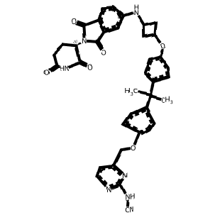 CC(C)(c1ccc(OCc2ccnc(NC#N)n2)cc1)c1ccc(OC2CC(Nc3ccc4c(c3)C(=O)N([C@H]3CCC(=O)NC3=O)C4=O)C2)cc1